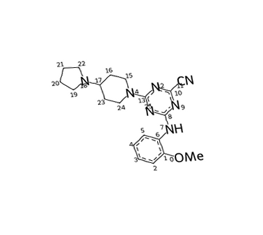 COc1ccccc1Nc1nc(C#N)nc(N2CCC(N3CCCC3)CC2)n1